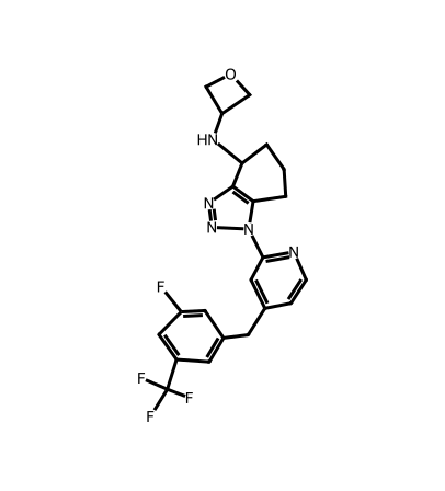 Fc1cc(Cc2ccnc(-n3nnc4c3CCCC4NC3COC3)c2)cc(C(F)(F)F)c1